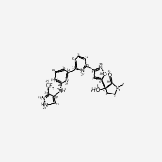 CN1CCC(O)(c2cc(-c3cccc(-c4ccnc(Nc5c[nH]nc5C(F)(F)F)n4)n3)no2)C1=O